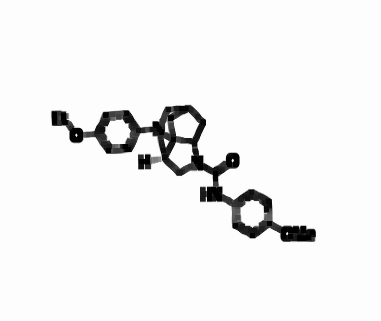 CCOc1ccc(N2CC3CC4N(C(=O)Nc5ccc(OC)cc5)C[C@@H]2C4(C)C3)cc1